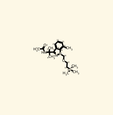 CC(=O)NC(C)(C)c1nn(COCCS(C)(C)C)c2c(C)cccc12